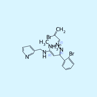 C=C(Br)/C=N\N(C)/C(=C\C(=N/C)c1ccccc1Br)NCc1cccnc1